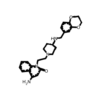 Nc1cc(=O)n(CCN2CCC(NCc3ccc4c(c3)OCCO4)CC2)c2ccccc12